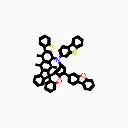 CC1C2=C3C(C)C4=C1C(C)c1c(sc5ccccc15)C4(C)N(c1ccc4c(c1)sc1ccccc14)c1cc(-c4ccc5c(c4)oc4ccccc45)c4c(c1)C3(c1ccccc1O4)c1ccccc12